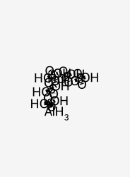 O=S(=O)(O)O.O=S(=O)(O)O.O=S(=O)(O)O.O=S(=O)(O)O.O=S(=O)(O)O.[AlH3]